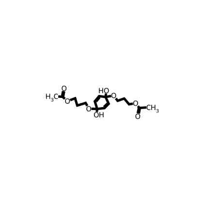 CC(=O)OCCCOC1(O)C=CC(O)(OCCCOC(C)=O)C=C1